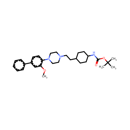 COc1cc(-c2ccccc2)ccc1N1CCN(CCC2CCC(NC(=O)OC(C)(C)C)CC2)CC1